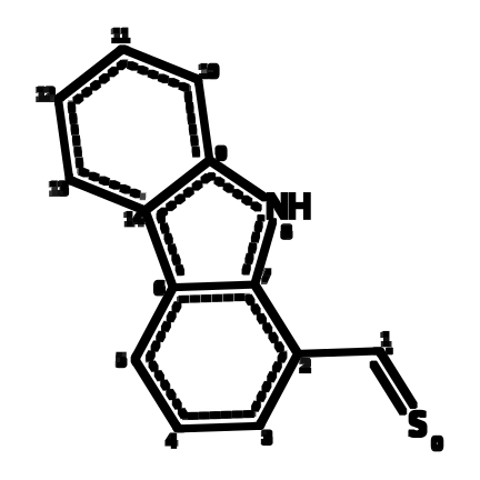 S=[C]c1cccc2c1[nH]c1ccccc12